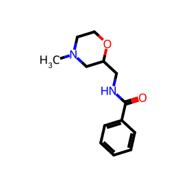 CN1CCOC(CNC(=O)c2ccccc2)C1